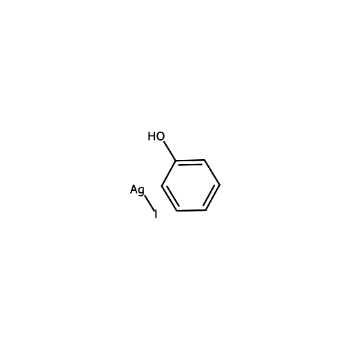 Oc1ccccc1.[Ag][I]